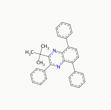 CC(C)(C)c1nc2c(-c3ccccc3)ccc(-c3ccccc3)c2nc1-c1ccccc1